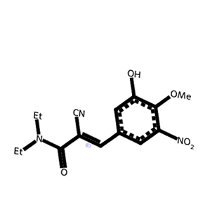 CCN(CC)C(=O)/C(C#N)=C/c1cc(O)c(OC)c([N+](=O)[O-])c1